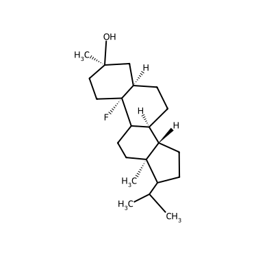 CC(C)C1CC[C@H]2[C@@H]3CC[C@@H]4C[C@](C)(O)CC[C@]4(F)C3CC[C@]12C